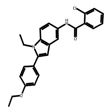 CCOc1ccc(-c2cc3cc(NC(=O)c4ccccc4Cl)ccc3n2CC)cc1